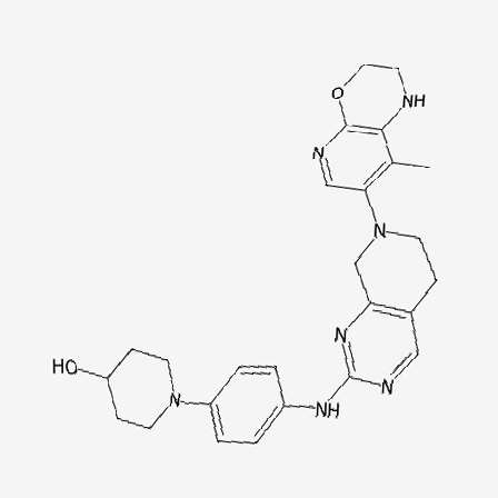 Cc1c(N2CCc3cnc(Nc4ccc(N5CCC(O)CC5)cc4)nc3C2)cnc2c1NCCO2